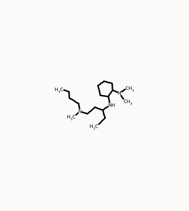 CCCCN(C)CCC(CC)NC1CCCCC1N(C)C